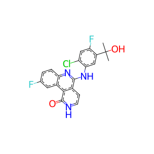 CC(C)(O)c1cc(Nc2nc3ccc(F)cc3c3c(=O)[nH]ccc23)c(Cl)cc1F